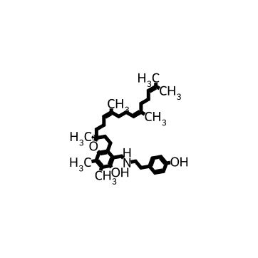 CC(C)=CCCC(C)=CCCC(C)=CCC[C@]1(C)CCc2c(CNCCc3ccc(O)cc3)c(O)c(C)c(C)c2O1